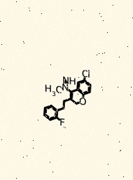 CN(N)C1=C(CCc2ccccc2F)COc2ccc(Cl)cc21